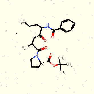 CCCC(NC(=O)c1ccccc1)C(=O)CC(C)C(=O)N1CCC[C@H]1C(=O)OC(C)(C)C